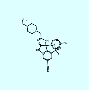 CCN1CCN(CC(=O)NC2(c3ccc(Cl)cc3)C(=O)Nc3cc(C#N)cc(C(F)(F)F)c32)CC1